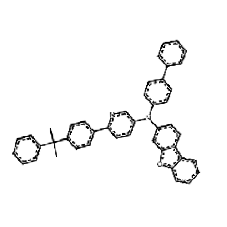 CC(C)(c1ccccc1)c1ccc(-c2ccc(N(c3ccc(-c4ccccc4)cc3)c3ccc4c(c3)oc3ccccc34)cn2)cc1